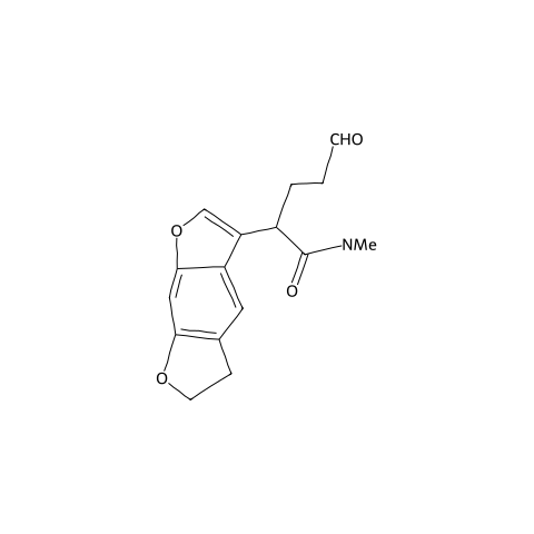 CNC(=O)C(CCC=O)c1coc2cc3c(cc12)CCO3